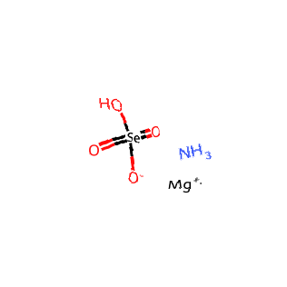 N.O=[Se](=O)([O-])O.[Mg+]